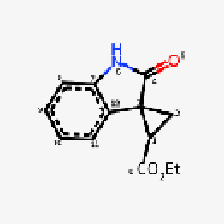 CCOC(=O)C1CC12C(=O)Nc1ccccc12